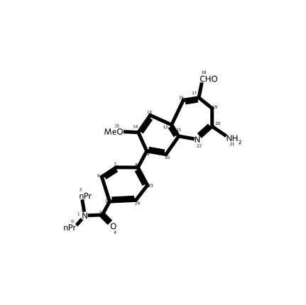 CCCN(CCC)C(=O)c1ccc(-c2cc3c(cc2OC)C=C(C=O)CC(N)=N3)cc1